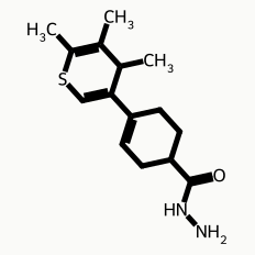 CC1=C(C)C(C)C(C2=CCC(C(=O)NN)CC2)=CS1